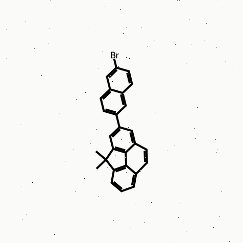 CC1(C)c2cccc3ccc4cc(-c5ccc6cc(Br)ccc6c5)cc1c4c23